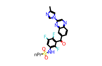 CCCS(=O)(=O)Nc1cc(F)c(F)c(C(=O)c2ccc3ncc(-n4cnc(C)c4)nc3c2)c1F